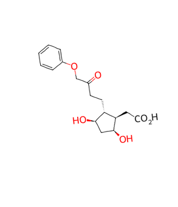 O=C(O)C[C@@H]1[C@@H](CCC(=O)COc2ccccc2)[C@H](O)C[C@@H]1O